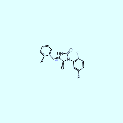 O=C1N/C(=C\c2ccccc2F)C(=O)N1c1cc(F)ccc1F